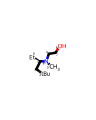 CC[C@H](CC(C)(C)C)N(C)CCO